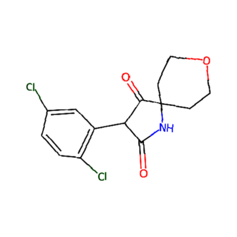 O=C1NC2(CCOCC2)C(=O)C1c1cc(Cl)ccc1Cl